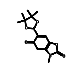 Cn1c2c(oc1=O)C=C(B1OC(C)(C)C(C)(C)O1)C(=O)C2